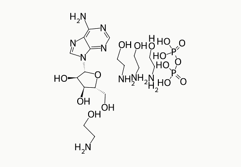 NCCO.NCCO.NCCO.NCCO.Nc1ncnc2c1ncn2[C@@H]1O[C@H](CO)[C@@H](O)[C@H]1O.O=P(O)(O)OP(=O)(O)O